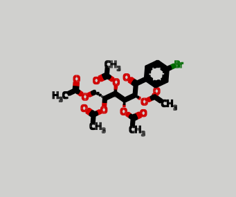 CC(=O)OC[C@@H](OC(C)=O)[C@@H](OC(C)=O)[C@@H](OC(C)=O)[C@@H](OC(C)=O)C(=O)c1ccc(Br)cc1